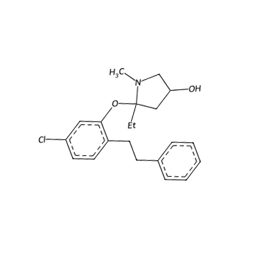 CCC1(Oc2cc(Cl)ccc2CCc2ccccc2)CC(O)CN1C